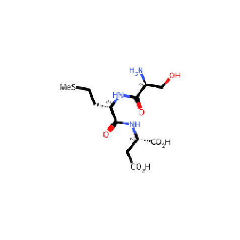 CSCC[C@H](NC(=O)[C@@H](N)CO)C(=O)N[C@@H](CC(=O)O)C(=O)O